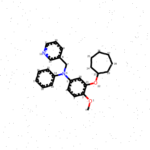 COc1ccc(N(Cc2cccnc2)c2ccccc2)cc1OC1CCCCCC1